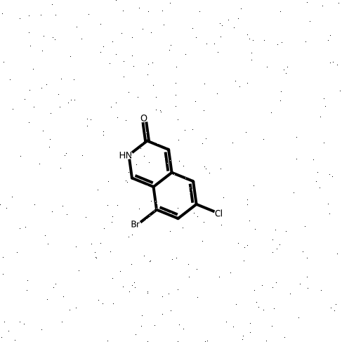 O=c1cc2cc(Cl)cc(Br)c2c[nH]1